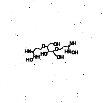 N=C(CCOC(CO)C(O)C(CO)OCCC(=N)NO)NO